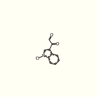 O=CC(=O)c1cn(Cl)c2ccccc12